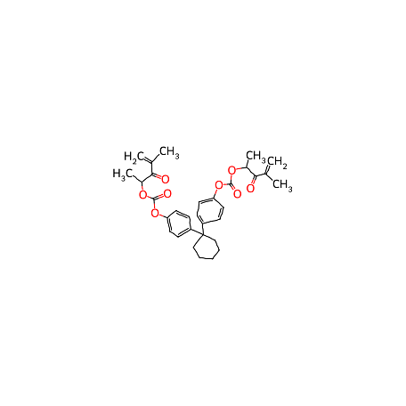 C=C(C)C(=O)C(C)OC(=O)Oc1ccc(C2(c3ccc(OC(=O)OC(C)C(=O)C(=C)C)cc3)CCCCC2)cc1